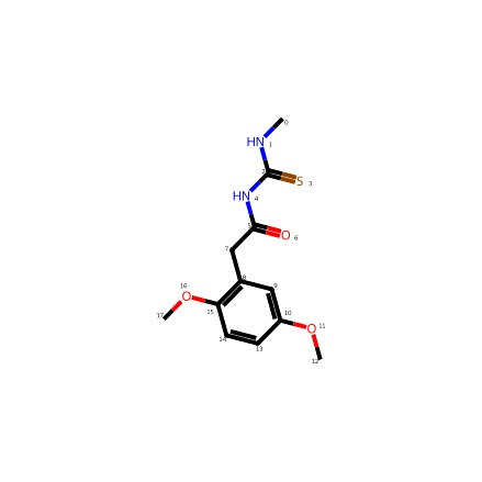 CNC(=S)NC(=O)Cc1cc(OC)ccc1OC